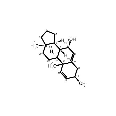 C[C@@]12CCC[C@H]1[C@@H]1[C@@H](O)C=C3C[C@@H](O)C=C[C@]3(C)[C@H]1CC2